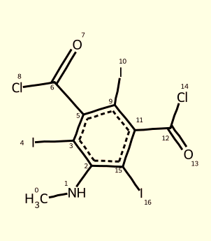 CNc1c(I)c(C(=O)Cl)c(I)c(C(=O)Cl)c1I